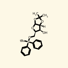 CC1(C)OC2O[C@H](CO[Si](c3ccccc3)(c3ccccc3)C(C)(C)C)[C@H](O)[C@H]2O1